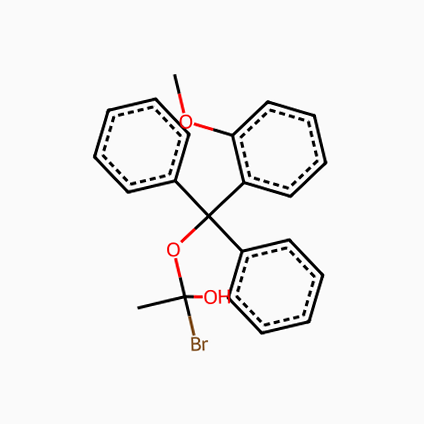 COc1ccccc1C(OC(C)(O)Br)(c1ccccc1)c1ccccc1